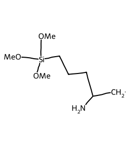 [CH2]C(N)CCC[Si](OC)(OC)OC